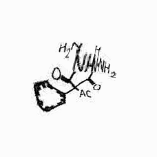 CC(=O)C(C(=O)NN)(C(=O)NN)c1ccccc1